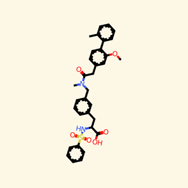 COc1cc(CC(=O)N(C)Cc2cccc(CC(NS(=O)(=O)c3ccccc3)C(=O)O)c2)ccc1-c1ccccc1C